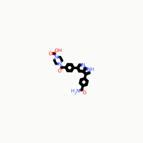 NC(=O)c1ccc(-c2c[nH]c3ncc(-c4ccc(C(=O)N5CCN(C(=O)O)CC5)cc4)cc23)cc1